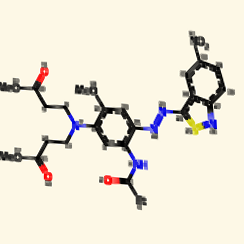 CCC(=O)Nc1cc(N(CCC(=O)OC)CCC(=O)OC)c(OC)cc1/N=N/c1snc2ccc([N+](=O)[O-])cc12